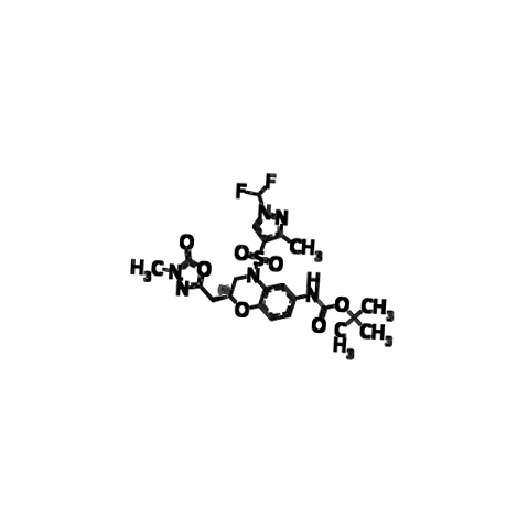 Cc1nn(C(F)F)cc1S(=O)(=O)N1C[C@H](Cc2nn(C)c(=O)o2)Oc2ccc(NC(=O)OC(C)(C)C)cc21